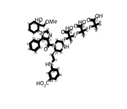 COC[C@]1(O)CCCC[C@H]1n1cnc(C(=O)N2CCNC[C@H]2CCNc2cccc(C(=O)O)c2)c1-c1ccccc1.O=C(O)C(F)(F)F.O=C(O)C(F)(F)F.O=C(O)C(F)(F)F